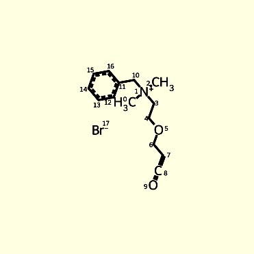 C[N+](C)(CCOCC=C=O)Cc1ccccc1.[Br-]